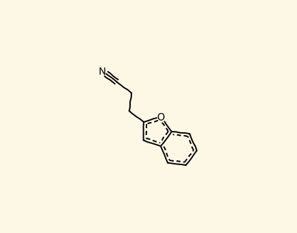 N#CCCc1cc2ccccc2o1